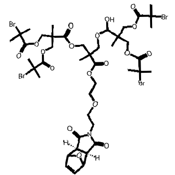 CC(C)(Br)C(=O)OCC(C)(COC(=O)C(C)(C)Br)C(=O)OCC(C)(COC(O)C(C)(COC(=O)C(C)(C)Br)COC(=O)C(C)(C)Br)C(=O)OCCOCCN1C(=O)[C@@H]2C3C=CC(O3)[C@@H]2C1=O